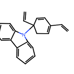 C=CC1=CCC(C=C)(n2c3ccccc3c3ccccc32)C=C1